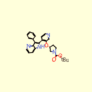 CC(C)(C)OC(=O)N1CC[C@@H](Oc2cnccc2-c2[nH]c3cccnc3c2-c2ccccc2)C1